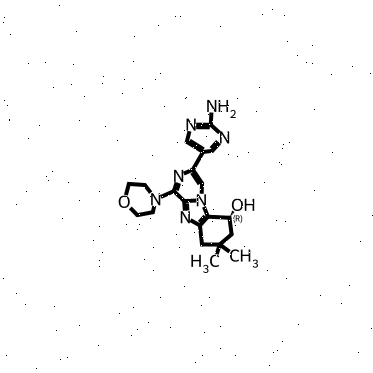 CC1(C)Cc2nc3c(N4CCOCC4)nc(-c4cnc(N)nc4)cn3c2[C@H](O)C1